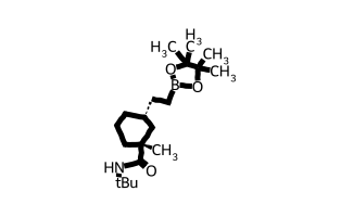 CC(C)(C)NC(=O)[C@]1(C)CCC[C@H](CCB2OC(C)(C)C(C)(C)O2)C1